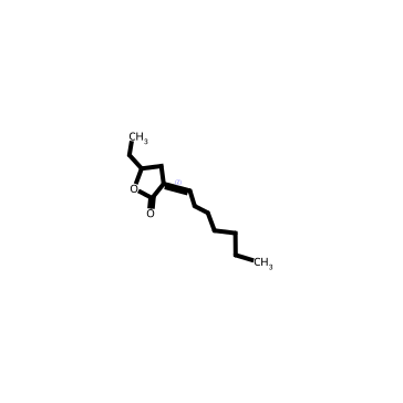 CCCCCC/C=C1/CC(CC)OC1=O